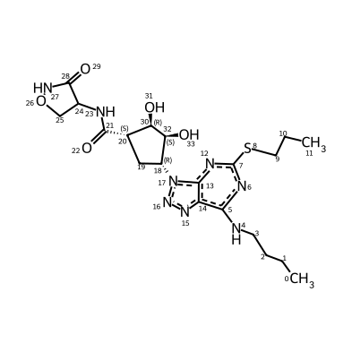 CCCCNc1nc(SCCC)nc2c1nnn2[C@@H]1C[C@H](C(=O)NC2CONC2=O)[C@@H](O)[C@H]1O